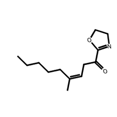 CCCCCC(C)=CCC(=O)C1=NCCO1